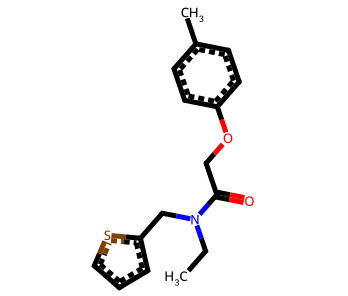 CCN(Cc1cccs1)C(=O)COc1ccc(C)cc1